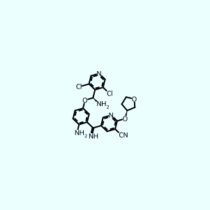 N#Cc1cc(C(=N)c2cc(O[C@H](N)c3c(Cl)cncc3Cl)ccc2N)cnc1O[C@H]1CCOC1